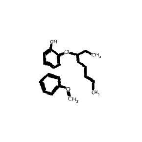 CCCCCC(CC)Oc1ccccc1O.COc1ccccc1